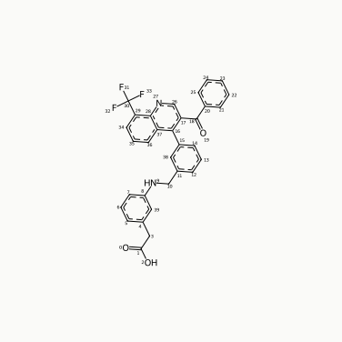 O=C(O)Cc1cccc(NCc2cccc(-c3c(C(=O)c4ccccc4)cnc4c(C(F)(F)F)cccc34)c2)c1